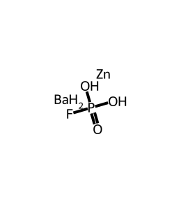 O=P(O)(O)F.[BaH2].[Zn]